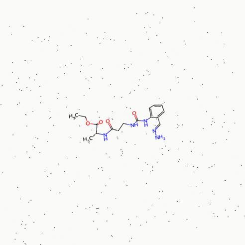 CCOC(=O)C(C)NC(=O)CCNC(=O)Nc1ccccc1C=NN